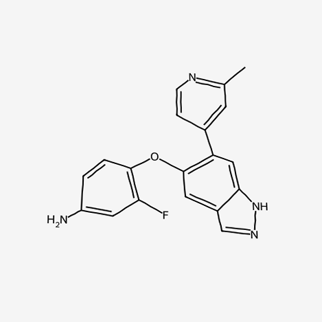 Cc1cc(-c2cc3[nH]ncc3cc2Oc2ccc(N)cc2F)ccn1